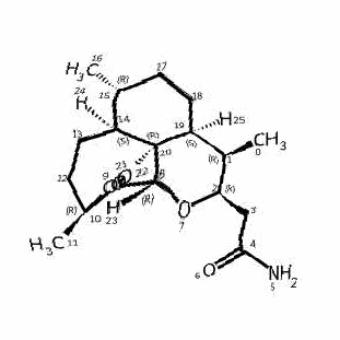 C[C@H]1[C@@H](CC(N)=O)O[C@@H]2O[C@@]3(C)CC[C@H]4[C@H](C)CC[C@@H]1[C@@]24OO3